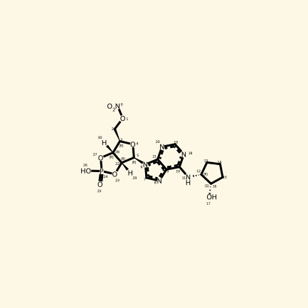 O=[N+]([O-])OC[C@H]1O[C@@H](n2cnc3c(N[C@@H]4CCC[C@@H]4O)ncnc32)[C@@H]2OP(=O)(O)O[C@@H]21